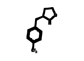 FC(F)(F)c1ccc(C[C@H]2CCON2)cc1